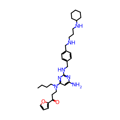 CCCCN(CCC(=O)c1ccco1)c1cc(N)nc(NCc2ccc(CNCCCNC3CCCCC3)cc2)n1